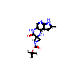 Cc1cc2c3c(cnc2[nH]1)NC(=O)C1(CN(C(=O)OC(C)(C)C)C1)N3